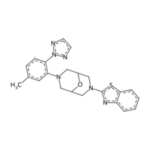 Cc1c[c]c(-n2nccn2)c(N2CC3CN(c4nc5ccccc5s4)CC(C2)O3)c1